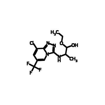 CCOC(O)C(C)Nc1nnc2c(Cl)cc(C(F)(F)F)cn12